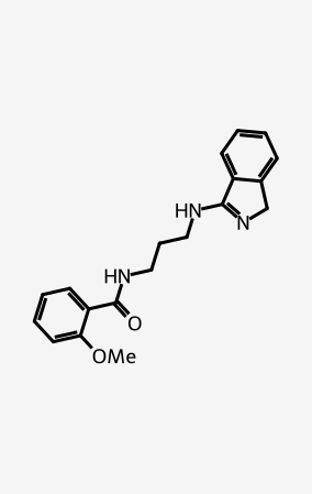 COc1ccccc1C(=O)NCCCNC1=NCc2ccccc21